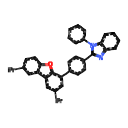 CC(C)c1ccc2oc3c(-c4ccc(-c5nc6ccccc6n5-c5ccccc5)cc4)cc(C(C)C)cc3c2c1